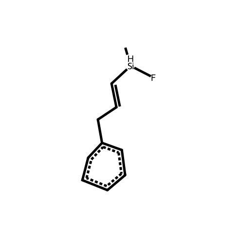 C[SiH](F)C=CCc1ccccc1